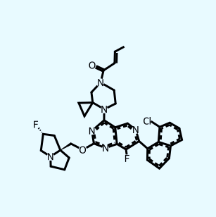 C/C=C/C(=O)N1CCN(c2nc(OC[C@@]34CCCN3C[C@H](F)C4)nc3c(F)c(-c4cccc5cccc(Cl)c45)ncc23)C2(CC2)C1